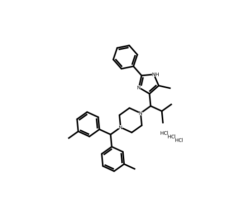 Cc1cccc(C(c2cccc(C)c2)N2CCN(C(c3nc(-c4ccccc4)[nH]c3C)C(C)C)CC2)c1.Cl.Cl.Cl